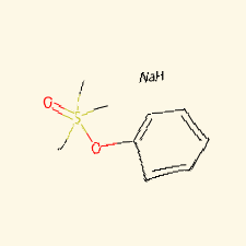 CS(C)(C)(=O)Oc1ccccc1.[NaH]